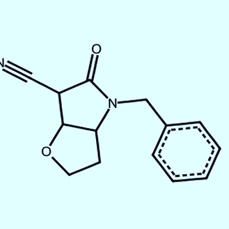 N#CC1C(=O)N(Cc2ccccc2)C2CCOC12